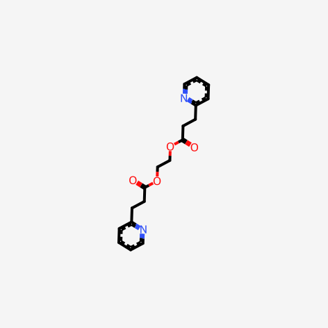 O=C(CCc1ccccn1)OCCOC(=O)CCc1ccccn1